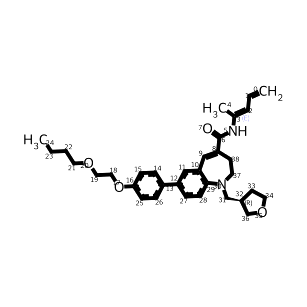 C=C/C=C(\C)NC(=O)C1=Cc2cc(-c3ccc(OCCOCCCC)cc3)ccc2N(C[C@H]2CCOC2)CC1